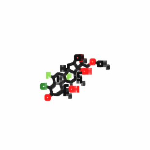 COCC(=O)[C@@]1(O)C(C)C[C@H]2[C@@H]3CC(F)C4=C(Cl)C(=O)C=C[C@]4(C)[C@@]3(F)C(O)C[C@@]21C